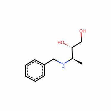 C[C@@H](NCc1ccccc1)[C@H](O)CO